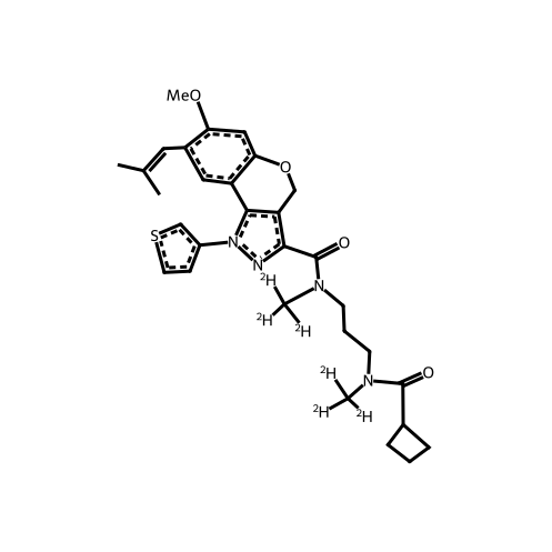 [2H]C([2H])([2H])N(CCCN(C(=O)C1CCC1)C([2H])([2H])[2H])C(=O)c1nn(-c2ccsc2)c2c1COc1cc(OC)c(C=C(C)C)cc1-2